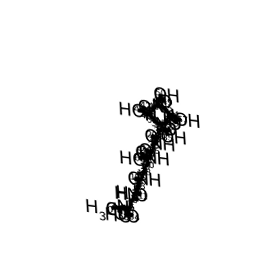 CCC(=O)NC(CCCNC(=O)CCC(=O)NCCCCC(NC(=O)CCNC(=O)CCC(C(=O)O)N1CCN(CC(=O)O)CCN(CC(=O)O)CCN(CC(=O)O)CC1)C(=O)O)C(=O)O